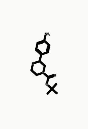 CC(C)(C)OC(=O)N1CCOC(c2ccc(N)cc2)C1